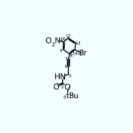 CC(C)(C)OC(=O)NCC#Cc1cc([N+](=O)[O-])ccc1Br